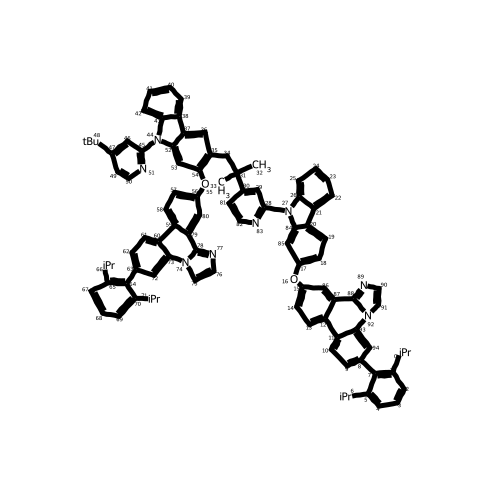 CC(C)c1cccc(C(C)C)c1-c1ccc2c3ccc(Oc4ccc5c6ccccc6n(-c6cc(C(C)(C)Cc7cc8c9ccccc9n(-c9cc(C(C)(C)C)ccn9)c8cc7Oc7ccc8c9ccc(-c%10c(C(C)C)cccc%10C(C)C)cc9n9ccnc9c8c7)ccn6)c5c4)cc3c3nccn3c2c1